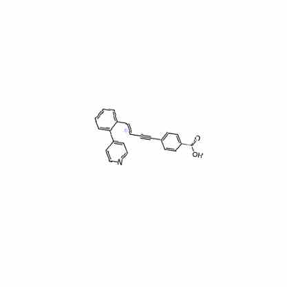 O=C(O)c1ccc(C#C/C=C/c2ccccc2-c2ccncc2)cc1